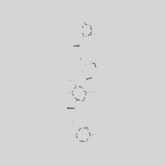 O=C(NCc1cccc(O)c1)c1cc(Cl)c(C(=O)N[C@@H](CNC(=O)c2sccc2Br)C(=O)O)c(Cl)c1